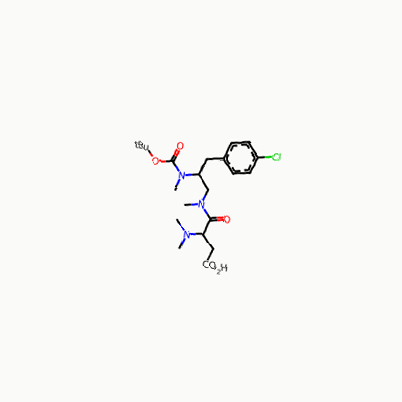 CN(CC(Cc1ccc(Cl)cc1)N(C)C(=O)OC(C)(C)C)C(=O)C(CC(=O)O)N(C)C